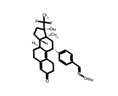 CON=Cc1ccc([C@H]2C[C@@]3(C)[C@@H](CC[C@@]3(O)C(F)(F)C(F)(F)F)[C@@H]3CCC4=CC(=O)CCC4=C32)cc1